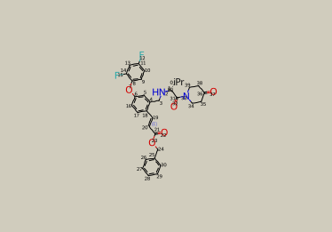 CC(C)[C@@H](NCc1cc(Oc2ccc(F)cc2F)ccc1/C=C/C(=O)OCc1ccccc1)C(=O)N1CCC(=O)CC1